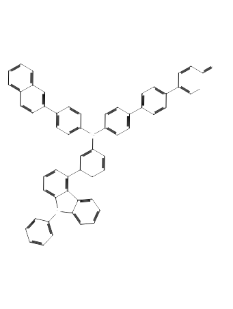 C=C/C=C\C(=C/C)c1ccc(-c2ccc(N(C3=CC(c4cccc5c4c4ccccc4n5-c4ccccc4)CC=C3)c3ccc(-c4ccc5ccccc5c4)cc3)cc2)cc1